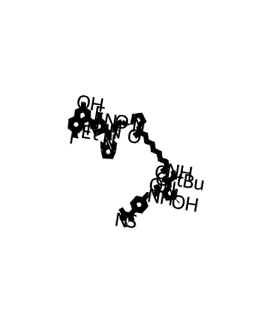 CCc1c(F)ccc2cc(O)cc(-c3ncc4c(N5CC6CCC(C5)N6)nc(OC[C@@H]5CCCN5C(=O)CCCCCCCC(=O)N[C@H](C(=O)N5C[C@H](O)C[C@H]5C(=O)NCc5ccc(-c6scnc6C)cc5)C(C)(C)C)nc4c3F)c12